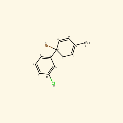 CC(C)(C)C1=CCC(Br)(c2cccc(Cl)c2)C=C1